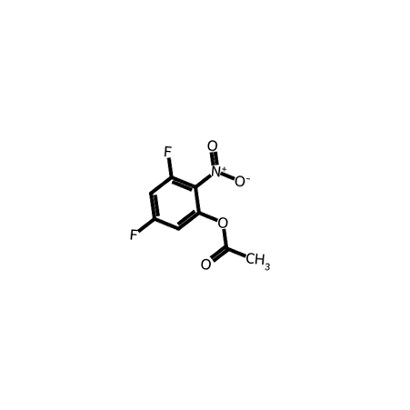 CC(=O)Oc1cc(F)cc(F)c1[N+](=O)[O-]